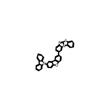 c1ccc2c(c1)sc1nc3ccc(-c4ccc5oc6ccc(-n7c8ccccc8c8ccccc87)cc6c5c4)cc3n12